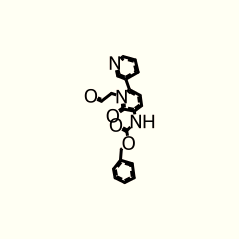 O=CCn1c(-c2cccnc2)ccc(NC(=O)OCc2ccccc2)c1=O